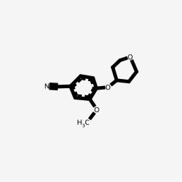 COc1cc(C#N)ccc1OC1CCOCC1